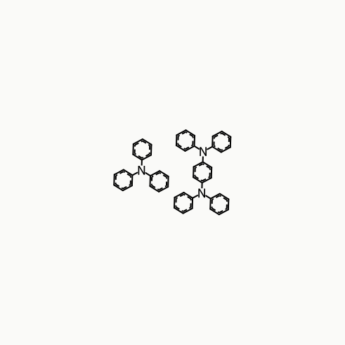 c1ccc(N(c2ccccc2)c2ccc(N(c3ccccc3)c3ccccc3)cc2)cc1.c1ccc(N(c2ccccc2)c2ccccc2)cc1